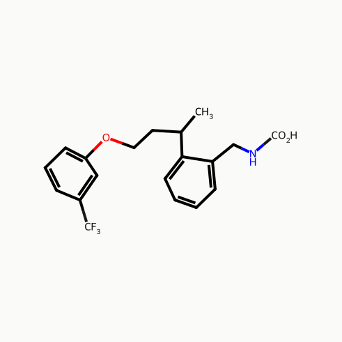 CC(CCOc1cccc(C(F)(F)F)c1)c1ccccc1CNC(=O)O